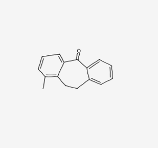 Cc1cccc2c1CCc1ccccc1C2=O